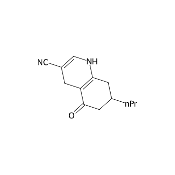 CCCC1CC(=O)C2=C(C1)NC=C(C#N)C2